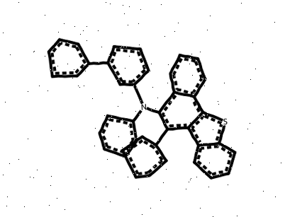 c1ccc(-c2cccc(N(c3ccccc3)c3c(-c4ccccc4)c4c5ccccc5sc4c4ccccc34)c2)cc1